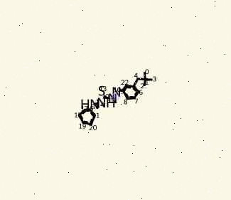 CC(C)(C)Cc1cccc(/N=N/C(=S)NNc2ccccc2)c1